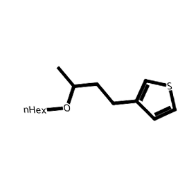 CCCCCCOC(C)CCc1ccsc1